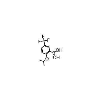 CC(C)Oc1ccc(C(F)(F)F)cc1B(O)O